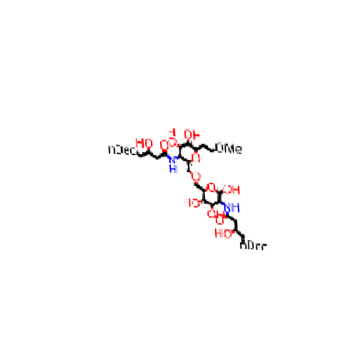 CCCCCCCCCCCC(O)CC(=O)NC1C(O)[C@H](O)C(COC[C@@H]2OC(CCOC)[C@@H](O)C(O)C2NC(=O)CC(O)CCCCCCCCCCC)O[C@H]1O